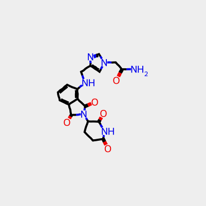 NC(=O)Cn1cnc(CNc2cccc3c2C(=O)N(C2CCC(=O)NC2=O)C3=O)c1